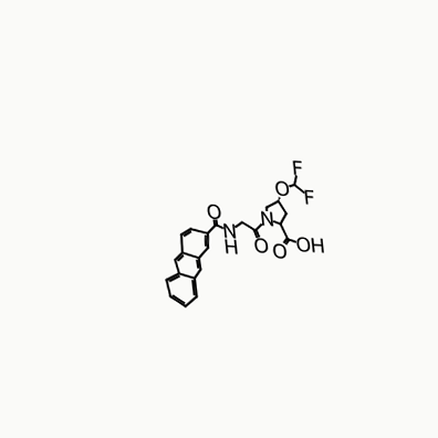 O=C(NCC(=O)N1C[C@H](OC(F)F)CC1C(=O)O)c1ccc2cc3ccccc3cc2c1